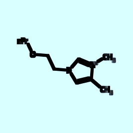 CCCOCCn1cc(C)[n+](C)c1